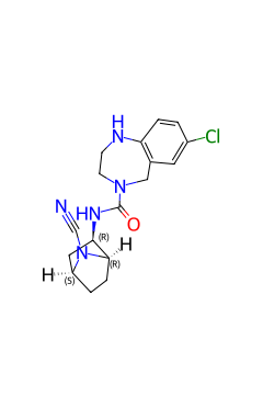 N#CN1[C@H]2CC[C@@H]1[C@H](NC(=O)N1CCNc3ccc(Cl)cc3C1)C2